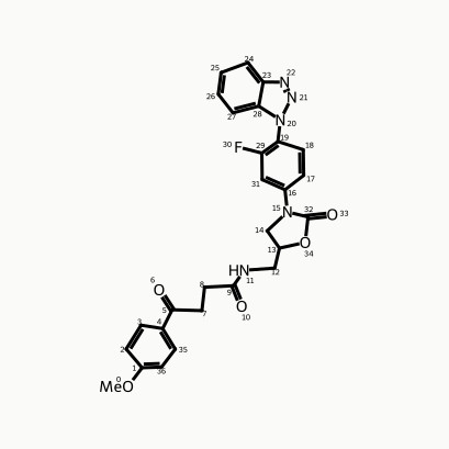 COc1ccc(C(=O)CCC(=O)NCC2CN(c3ccc(-n4nnc5ccccc54)c(F)c3)C(=O)O2)cc1